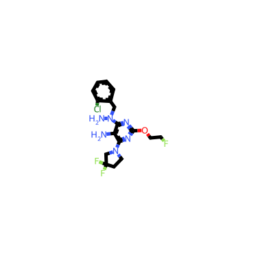 Nc1c(N(N)Cc2ccccc2Cl)nc(OCCF)nc1N1CCC(F)(F)C1